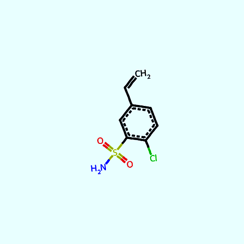 C=Cc1ccc(Cl)c(S(N)(=O)=O)c1